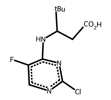 CC(C)(C)C(CC(=O)O)Nc1nc(Cl)ncc1F